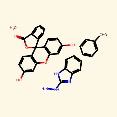 NNc1nc2ccccc2[nH]1.O.O=C1OC2(c3ccc(O)cc3Oc3cc(O)ccc32)c2ccccc21.O=Cc1ccccc1